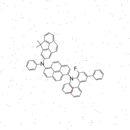 CC1(C)c2cccc3ccc4cc(N(c5ccccc5)c5ccc6ccc7c(N(c8ccccc8)c8c(F)cc(-c9ccccc9)cc8-c8ccccc8)ccc8ccc5c6c87)cc1c4c23